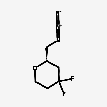 [N-]=[N+]=NC[C@@H]1CC(F)(F)CCO1